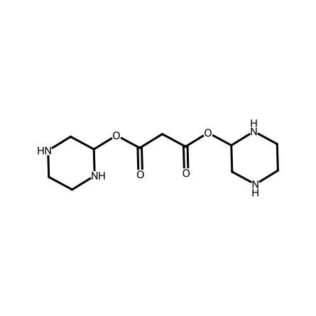 O=C(CC(=O)OC1CNCCN1)OC1CNCCN1